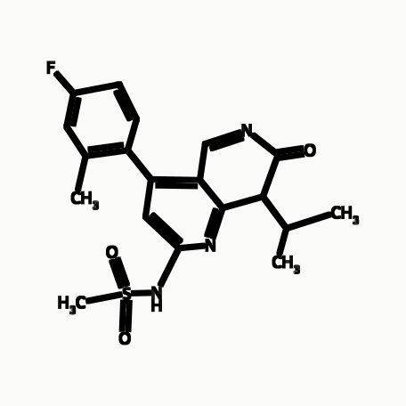 Cc1cc(F)ccc1-c1cc(NS(C)(=O)=O)nc2c1C=NC(=O)C2C(C)C